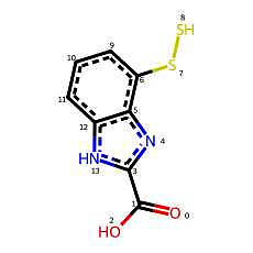 O=C(O)c1nc2c(SS)cccc2[nH]1